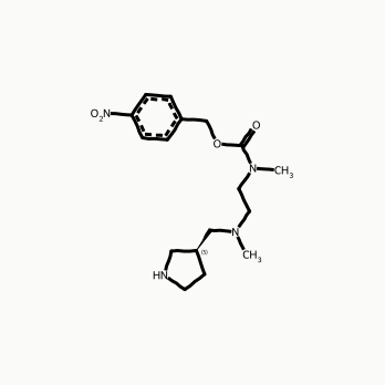 CN(CCN(C)C(=O)OCc1ccc([N+](=O)[O-])cc1)C[C@H]1CCNC1